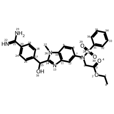 CCOC(=O)CN(c1ccc2c(c1)nc(C(O)c1ccc(C(=N)N)cc1)n2C)S(=O)(=O)c1ccccc1